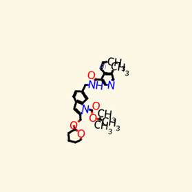 C/C=C\c1c(C)cncc1C(=O)NCc1ccc2cc(COC3CCCCO3)n(C(=O)OC(C)(C)C)c2c1